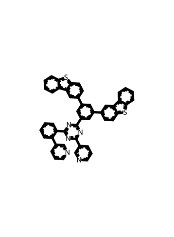 c1cncc(-c2nc(-c3cc(-c4ccc5sc6ccccc6c5c4)cc(-c4ccc5sc6ccccc6c5c4)c3)nc(-c3ccccc3-c3cccnc3)n2)c1